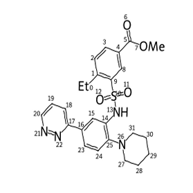 CCc1ccc(C(=O)OC)cc1S(=O)(=O)Nc1cc(-c2cccnn2)ccc1N1CCCCC1